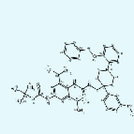 COc1cccc(C2(CNC(=O)Nc3c(C(C)C)cc(NC(=O)OC(C)(C)C)cc3C(C)C)CCN(c3ccccc3OCc3ccccc3)CC2)c1